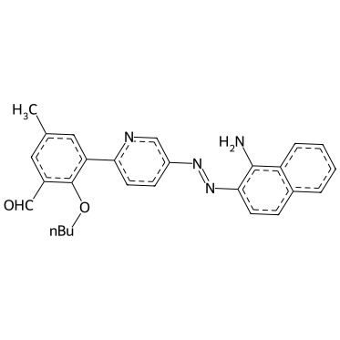 CCCCOc1c(C=O)cc(C)cc1-c1ccc(N=Nc2ccc3ccccc3c2N)cn1